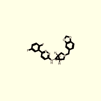 Fc1ccc(F)c(-c2ccc(N[C@@H]3[C@@H]4CN(Cc5ccc6c(c5)OCO6)C[C@@H]43)nn2)c1